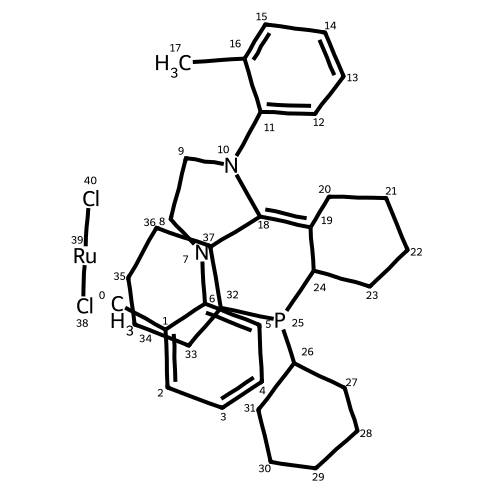 Cc1ccccc1N1CCN(c2ccccc2C)C1=C1CCCCC1P(C1CCCCC1)C1CCCCC1.[Cl][Ru][Cl]